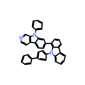 c1ccc(-c2ccc(-n3c4ccccc4c4cccc(-c5ccc6c7ccncc7n(-c7ccccc7)c6c5)c43)cc2)cc1